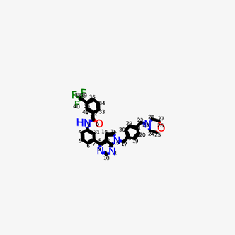 O=C(Nc1cccc(-c2ncnc3c2ccn3Cc2ccc(CN3CCOCC3)cc2)c1)c1cccc(C(F)(F)F)c1